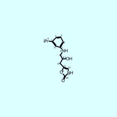 CC(C)c1cccc(NCC(O)Cc2c[nH]c(=O)o2)c1